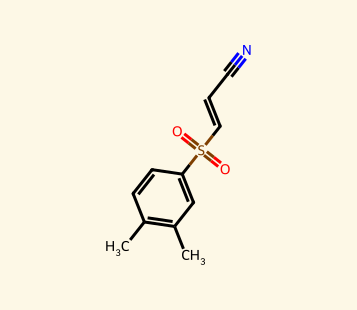 Cc1ccc(S(=O)(=O)C=CC#N)cc1C